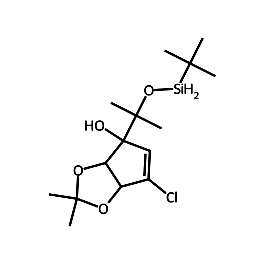 CC1(C)OC2C(Cl)=CC(O)(C(C)(C)O[SiH2]C(C)(C)C)C2O1